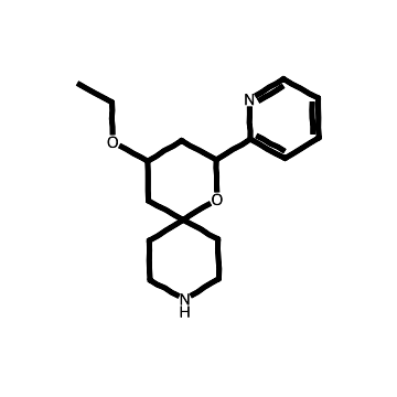 CCOC1CC(c2ccccn2)OC2(CCNCC2)C1